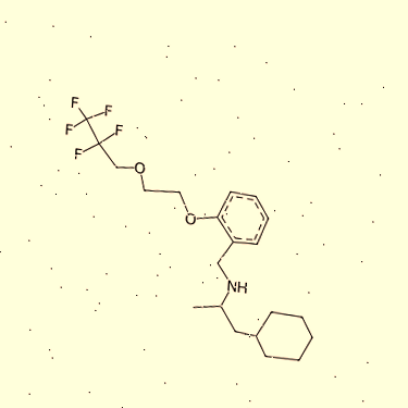 CC(CC1CCCCC1)NCc1ccccc1OCCOCC(F)(F)C(F)(F)F